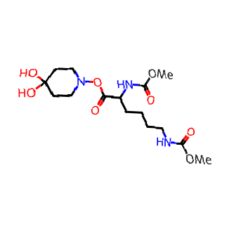 COC(=O)NCCCCC(NC(=O)OC)C(=O)ON1CCC(O)(O)CC1